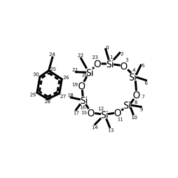 C[Si]1(C)O[Si](C)(C)O[Si](C)(C)O[Si](C)(C)O[Si](C)(C)O[Si](C)(C)O1.Cc1cc[c]cc1